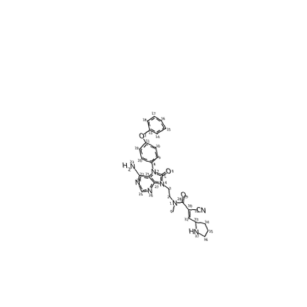 CN(CCn1c(=O)n(-c2ccc(Oc3ccccc3)cc2)c2c(N)ncnc21)C(=O)C(C#N)=CC1CCCN1